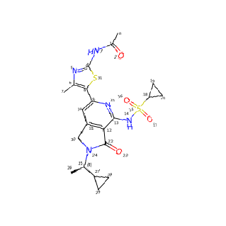 CC(=O)Nc1nc(C)c(-c2cc3c(c(NS(=O)(=O)C4CC4)n2)C(=O)N([C@H](C)C2CC2)C3)s1